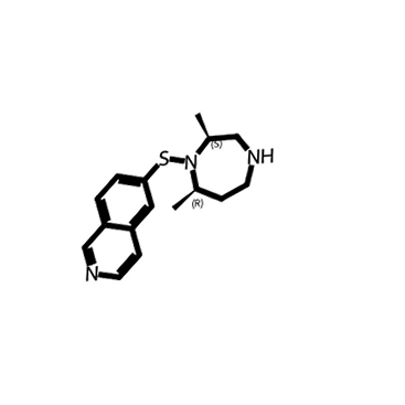 C[C@@H]1CCNC[C@H](C)N1Sc1ccc2cnccc2c1